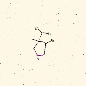 CCC(CC)C1(C)CPCC1CC